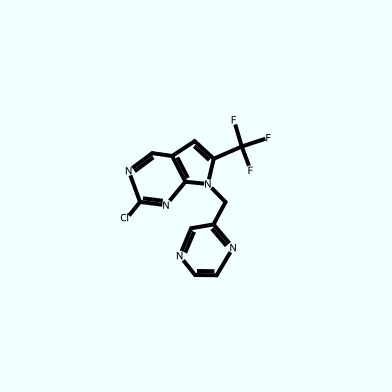 FC(F)(F)c1cc2cnc(Cl)nc2n1Cc1cnccn1